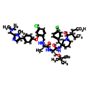 C[C@H](NCc1ccc(Cl)cc1Oc1ccc(-c2cnc(CN(C)C)n2C)cc1)C(=O)N[C@@H](CO[Si](C)(C)C(C)(C)C)C(=O)N[C@@]1(Cc2ccc(Cl)cc2)CCCN(C(=O)[C@@H](CC(=O)O)CC(F)(F)F)C1